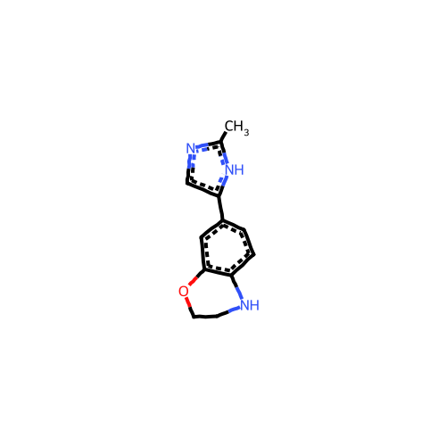 Cc1ncc(-c2ccc3c(c2)OCCN3)[nH]1